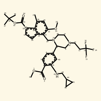 COC(=O)c1ccc(C2CN(CCC(F)(F)F)CCN2Cc2c(OC)cc(C)c3c2ccn3C(=O)OC(C)(C)C)cc1NCC1CC1